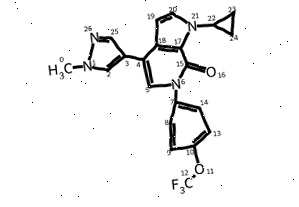 Cn1cc(-c2cn(-c3ccc(OC(F)(F)F)cc3)c(=O)c3c2ccn3C2CC2)cn1